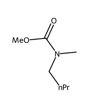 [CH2]OC(=O)N(C)CCCC